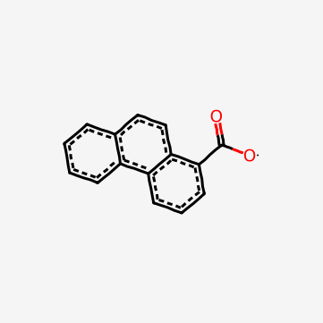 [O]C(=O)c1cccc2c1ccc1ccccc12